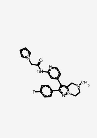 CN1CCn2nc(-c3ccc(F)cc3)c(-c3ccnc(NC(=O)Cn4cccc4)c3)c2C1